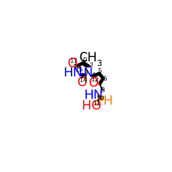 Cc1cn([C@H]2CC[C@@H](CNPO)O2)c(=O)[nH]c1=O